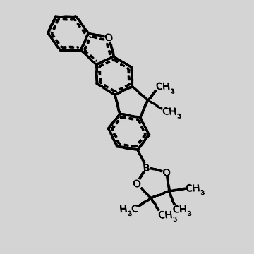 CC1(C)c2cc(B3OC(C)(C)C(C)(C)O3)ccc2-c2cc3c(cc21)oc1ccccc13